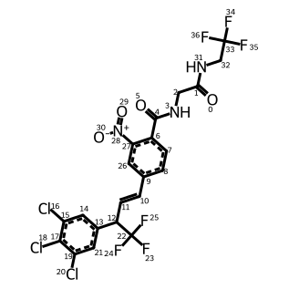 O=C(CNC(=O)c1ccc(/C=C/C(c2cc(Cl)c(Cl)c(Cl)c2)C(F)(F)F)cc1[N+](=O)[O-])NCC(F)(F)F